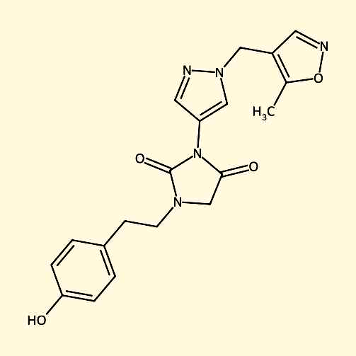 Cc1oncc1Cn1cc(N2C(=O)CN(CCc3ccc(O)cc3)C2=O)cn1